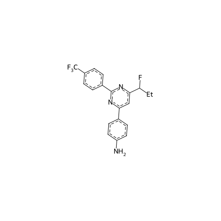 CCC(F)c1cc(-c2ccc(N)cc2)nc(-c2ccc(C(F)(F)F)cc2)n1